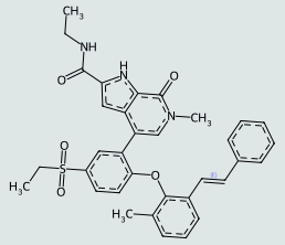 CCNC(=O)c1cc2c(-c3cc(S(=O)(=O)CC)ccc3Oc3c(C)cccc3/C=C/c3ccccc3)cn(C)c(=O)c2[nH]1